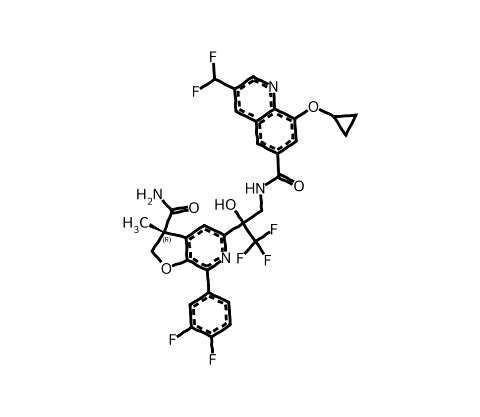 C[C@]1(C(N)=O)COc2c1cc(C(O)(CNC(=O)c1cc(OC3CC3)c3ncc(C(F)F)cc3c1)C(F)(F)F)nc2-c1ccc(F)c(F)c1